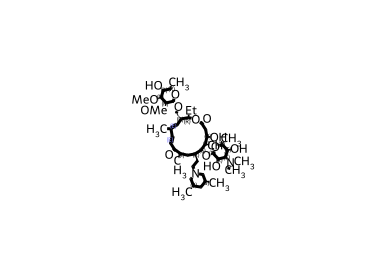 CC[C@H]1OC(=O)C[C@@H](O)[C@H](C)[C@@H](O[C@@H]2O[C@H](C)[C@@H](O)[C@H](N(C)C)[C@H]2O)[C@@H](CCN2C[C@H](C)C[C@H](C)C2)C[C@@H](C)C(=O)/C=C/C(C)=C/[C@@H]1COC1O[C@H](C)[C@@H](O)[C@@H](OC)[C@H]1OC